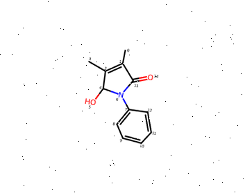 CC1=C(C)C(O)N(c2ccccc2)C1=O